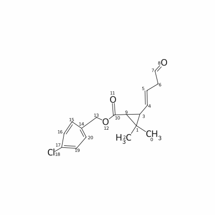 CC1(C)C(C=CCC=O)C1C(=O)OCc1ccc(Cl)cc1